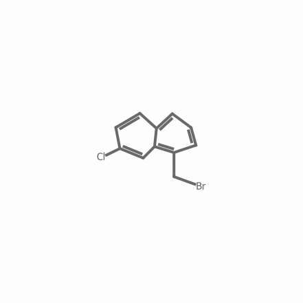 Clc1ccc2cccc(CBr)c2c1